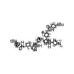 Cc1c(CNC(=O)c2noc(C(C)(C)C)n2)cccc1-c1ccnc2[nH]c(-c3cnn(Cc4cnc5[nH]c(-c6ccc(N(C)C)cn6)nc5c4-c4ccc(CNC(=O)c5ccc(C(C)(C)C)cc5)c(F)c4)c3)nc12